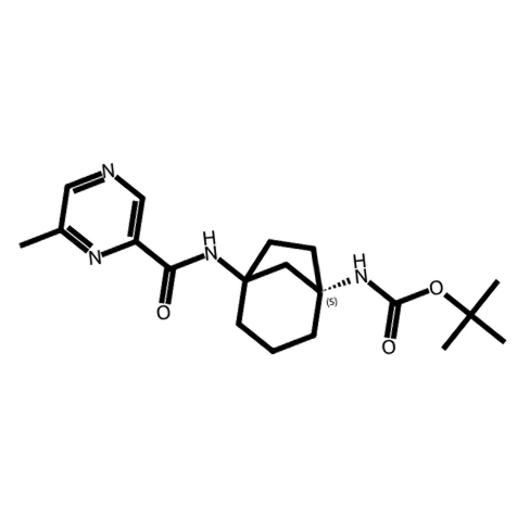 Cc1cncc(C(=O)NC23CCC[C@](NC(=O)OC(C)(C)C)(CC2)C3)n1